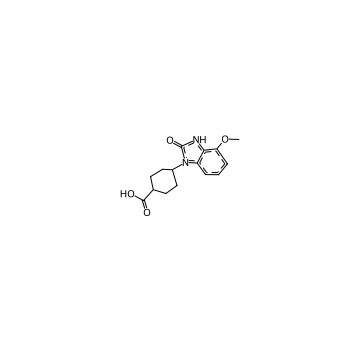 COc1cccc2c1[nH]c(=O)n2C1CCC(C(=O)O)CC1